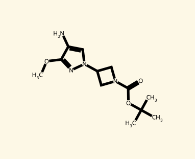 COc1nn(C2CN(C(=O)OC(C)(C)C)C2)cc1N